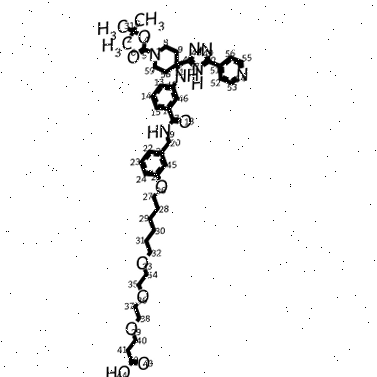 CC(C)(C)OC(=O)N1CCC(Nc2cccc(C(=O)NCc3cccc(OCCCCCCOCCOCCOCCC(=O)O)c3)c2)(c2nnc(-c3ccncc3)[nH]2)CC1